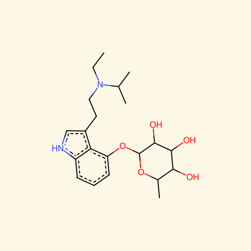 CCN(CCc1c[nH]c2cccc(OC3OC(C)C(O)C(O)C3O)c12)C(C)C